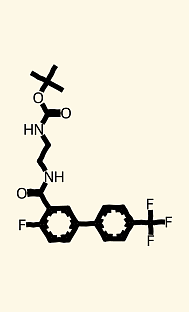 CC(C)(C)OC(=O)NCCNC(=O)c1cc(-c2ccc(C(F)(F)F)cc2)ccc1F